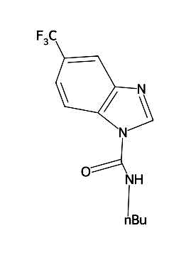 CCCCNC(=O)n1cnc2cc(C(F)(F)F)ccc21